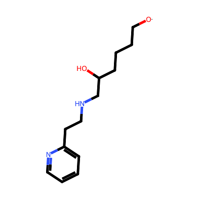 [O]CCCCC(O)CNCCc1ccccn1